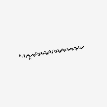 CCOCCNCCOOOOOOOOOOOOOOOOCNCON